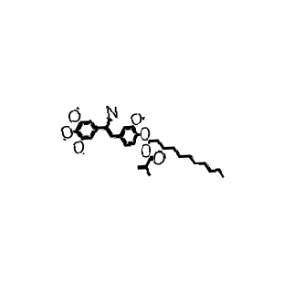 C=C(C)C(=O)OC(CCCCCCCCCC)Oc1ccc(C=C(C#N)c2cc(OC)c(OC)c(OC)c2)cc1OC